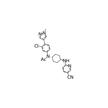 CC(=O)N(c1ccc(-c2cnn(C)c2)c(Cl)c1)[C@H]1CC[C@H](Nc2ccc(C#N)cn2)CC1